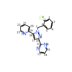 Fc1ccccc1Cn1nc(-c2ncccn2)cc1-c1ccccn1